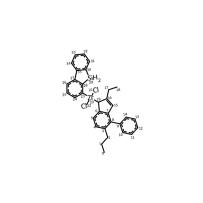 CCCc1ccc2c(c1-c1ccccc1)C=C(CC)[CH]2[Zr]([Cl])([Cl])[c]1cccc2c1[SiH2]c1ccccc1-2